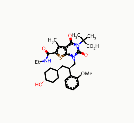 CCNC(=O)c1sc2c(c1C)c(=O)n(C(C)(C)C(=O)O)c(=O)n2C[C@H](C[C@H]1CC[C@H](O)CC1)c1ccccc1OC